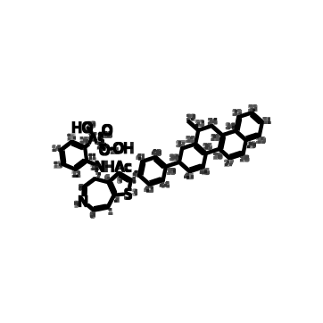 C1=Cc2sccc2CC=N1.CC(=O)Nc1ccccc1[As](=O)(O)OO.CC1Cc2c(ccc3ccccc23)C2=C1CC(c1ccccc1)C=C2